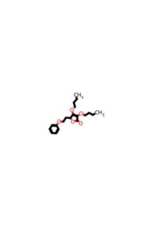 CCCCOC1=C(OCCCC)C(CCOc2ccccc2)OC1=O